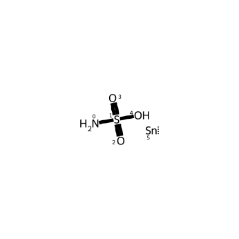 NS(=O)(=O)O.[Sn]